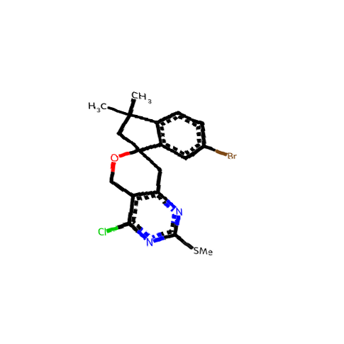 CSc1nc(Cl)c2c(n1)CC1(CC(C)(C)c3ccc(Br)cc31)OC2